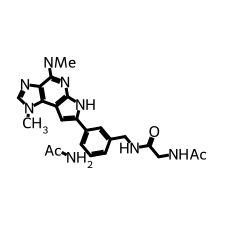 CC(N)=O.CNc1nc2[nH]c(-c3cccc(CNC(=O)CNC(C)=O)c3)cc2c2c1ncn2C